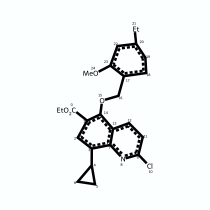 CCOC(=O)c1cc(C2CC2)c2nc(Cl)ccc2c1OCc1ccc(CC)cc1OC